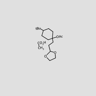 CC(=O)O.CC(=O)OC1(CCC2OCCO2)CCC(C(C)(C)C)CC1